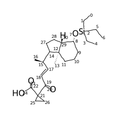 CC[Si](CC)(CC)O[C@@H]1CCC[C@@]2(C)C([C@H](C)/C=C/C(=O)C3(C(=O)O)CC3)CC[C@H]12